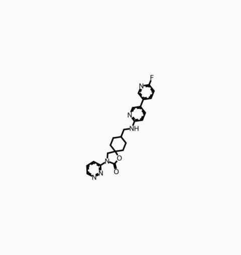 O=C1OC2(CCC(CNc3ccc(-c4ccc(F)nc4)cn3)CC2)CN1c1cccnn1